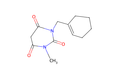 CN1C(=O)CC(=O)N(CC2=CCCCC2)C1=O